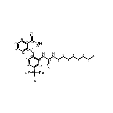 CCCCCCCCNC(=O)Nc1cc(C(F)(F)F)ccc1Oc1ccccc1C(=O)O